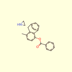 C1CN1.Cc1ccc(OC(=O)c2ccccc2)c2c1Cc1ccc-2cc1